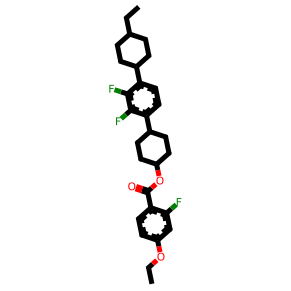 CCOc1ccc(C(=O)OC2CCC(c3ccc(C4CCC(CC)CC4)c(F)c3F)CC2)c(F)c1